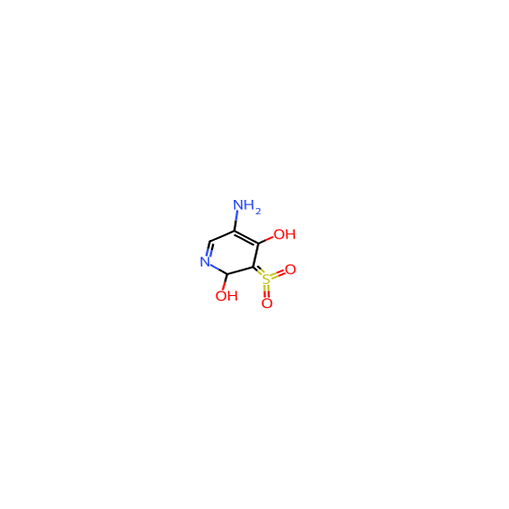 NC1=C(O)C(=S(=O)=O)C(O)N=C1